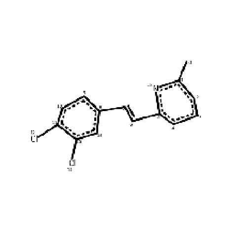 Cc1cccc(C=Cc2ccc(Cl)c(Cl)c2)n1